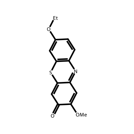 CCOc1ccc2nc3cc(OC)c(=O)cc-3sc2c1